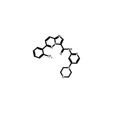 O=C(Nc1cc(N2CCOCC2)ccn1)c1cnc2ccc(-c3ccccc3C(F)(F)F)nn12